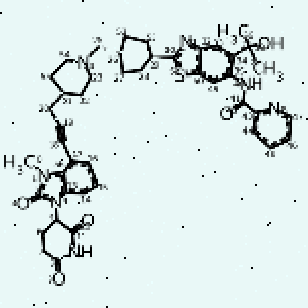 Cn1c(=O)n(C2CCC(=O)NC2=O)c2cccc(C#CCC3CCN(C[C@H]4CC[C@H](c5nc6cc(C(C)(C)O)c(NC(=O)c7ccccn7)cc6s5)CC4)CC3)c21